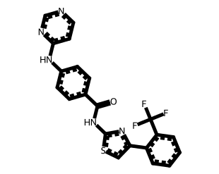 O=C(Nc1nc(-c2ccccc2C(F)(F)F)cs1)c1ccc(Nc2ccncn2)cc1